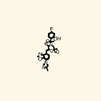 Cc1cn(-c2ccc(/C=C3\OC4(COC4)CN4C3=NOC4(CO)c3ccc(F)cc3)c3ncoc23)cn1